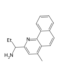 CCC(N)c1cc(C)c2ccc3ccccc3c2n1